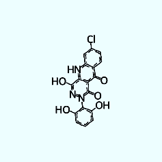 O=c1c2ccc(Cl)cc2[nH]c2c(O)nn(-c3c(O)cccc3O)c(=O)c12